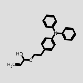 C=CC(O)OCCc1ccc(N(c2ccccc2)c2ccccc2)cc1